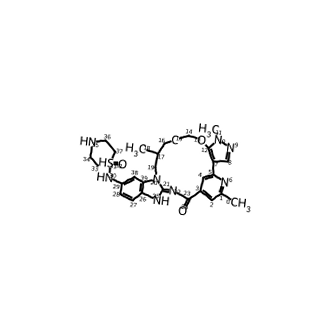 Cc1cc2cc(n1)-c1cnn(C)c1OCCCC(C)CN1/C(=N/C2=O)Nc2ccc(N[SH]3(=O)CCNCC3)cc21